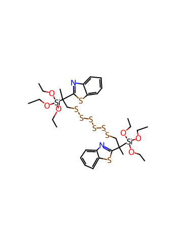 CCO[Si](OCC)(OCC)C(C)(CSSSSSSCC(C)(c1nc2ccccc2s1)[Si](OCC)(OCC)OCC)c1nc2ccccc2s1